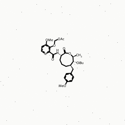 COc1ccc(C[C@H]2CCC[C@H](NC(=O)c3nccc(OC)c3OCOC(C)=O)C(=O)O[C@@H](C)[C@@H]2OCC(C)C)cc1